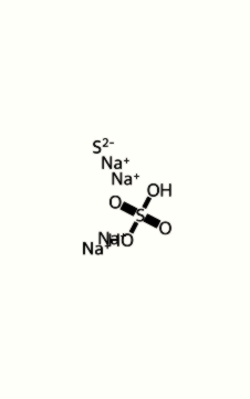 O=S(=O)(O)O.[Na+].[Na+].[Na+].[Na+].[S-2]